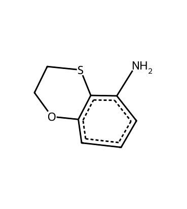 Nc1cccc2c1SCCO2